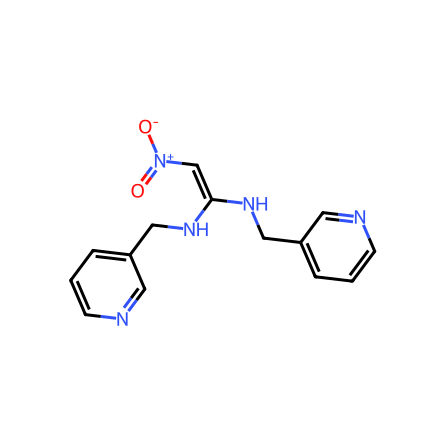 O=[N+]([O-])C=C(NCc1cccnc1)NCc1cccnc1